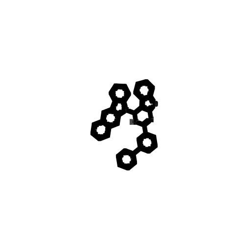 c1ccc(-c2cccc(C3=Nc4oc5ccccc5c4C(n4c5ccccc5c5cc6ccccc6cc54)N3)c2)cc1